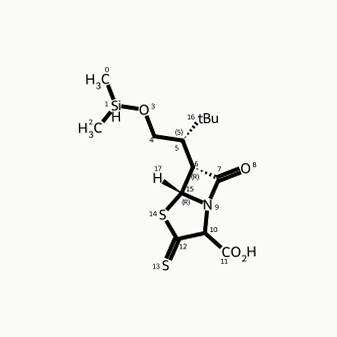 C[SiH](C)OC[C@@H]([C@@H]1C(=O)N2C(C(=O)O)C(=S)S[C@H]12)C(C)(C)C